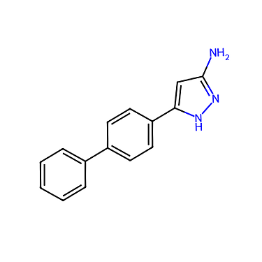 Nc1cc(-c2ccc(-c3ccccc3)cc2)[nH]n1